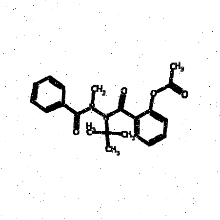 CC(=O)Oc1ccccc1C(=O)N(N(C)C(=O)c1ccccc1)C(C)(C)C